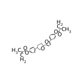 C=C(C)C(=O)Oc1ccc(-c2ccc(C3CCC(c4ccc(OC(=O)C(=C)C)cc4)CO3)o2)cc1